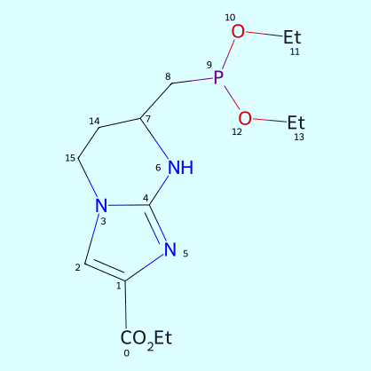 CCOC(=O)c1cn2c(n1)NC(CP(OCC)OCC)CC2